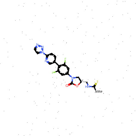 CNC(=S)NC[C@H]1CN(c2cc(F)c(-c3ccc(-n4ccnn4)nc3)c(F)c2)C(=O)O1